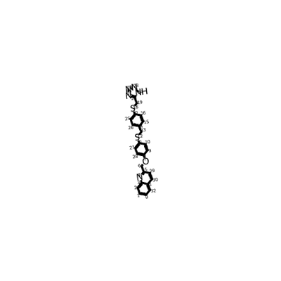 c1ccc2nc(COc3ccc(SCc4ccc(SCc5nnn[nH]5)cc4)cc3)ccc2c1